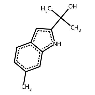 Cc1ccc2cc(C(C)(C)O)[nH]c2c1